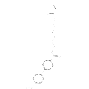 C=CC(=O)OCCCCCCOC(=O)c1ccc(-c2ccc(CCC)cc2)cc1